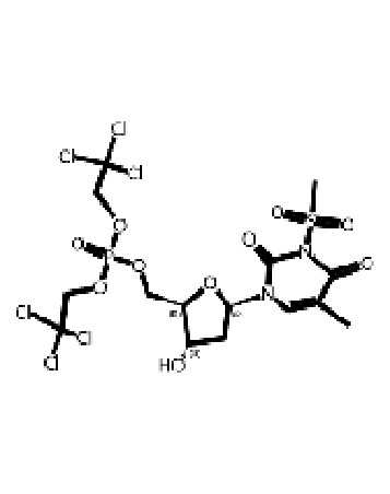 Cc1cn([C@H]2C[C@H](O)[C@@H](COP(=O)(OCC(Cl)(Cl)Cl)OCC(Cl)(Cl)Cl)O2)c(=O)n(S(C)(=O)=O)c1=O